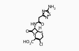 Nc1nc(CC(=O)N[C@@H]2C(=O)N3C(C(=O)O)=C(Cl)CS[C@H]23)ns1